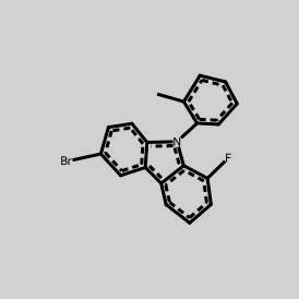 Cc1ccccc1-n1c2ccc(Br)cc2c2cccc(F)c21